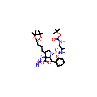 CC(CNC(=O)OC(C)(C)C)NS(=O)(=O)N1CC(CCCB2OC(C)(C)C(C)(C)O2)C(N=[N+]=[N-])(C(=O)O)C1Cc1ccccc1